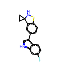 Fc1ccc2c(-c3ccc4c(c3)C3(CC3)NS4)c[nH]c2c1